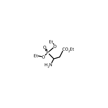 CCOC(=O)CC(N)P(=O)(OCC)OCC